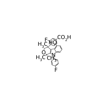 CC1(C)OCC(C)(c2ccc(C(=O)O)cc2F)c2c1n(-c1ccc(F)cc1)c1cccc(O)c21